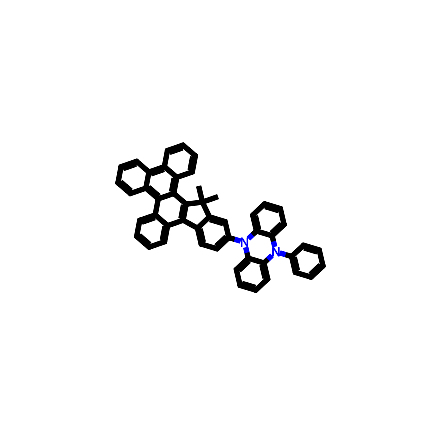 CC1(C)c2cc(N3c4ccccc4N(c4ccccc4)c4ccccc43)ccc2-c2c1c1c3ccccc3c3ccccc3c1c1ccccc21